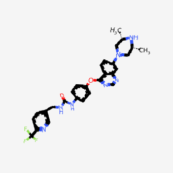 C[C@@H]1CN(c2ccc3c(Oc4ccc(NC(=O)NCc5ccc(C(F)(F)F)nc5)cc4)ncnc3c2)C[C@H](C)N1